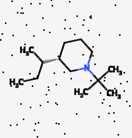 CCC(C)[C@@H]1CCCN(C(C)(C)C)C1